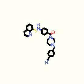 N#Cc1ccc(CN2CCCN(C(=O)c3ccc(NSc4cccc5cccnc45)cc3)CC2)cc1